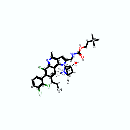 Cc1nc2c(F)c(-c3cccc(Cl)c3Cl)c(CCC#N)cc2c2c1cc([C@@H](C)NC(=O)OCC[Si](C)(C)C)n2[C@H]1[C@@H]2C[C@H]1N(C(=O)O)C2